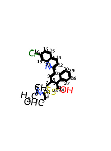 CN(C)C(CC=O)SCC(C=Cc1ccc2ccc(Cl)cc2n1)C(C(O)=S)c1ccccc1